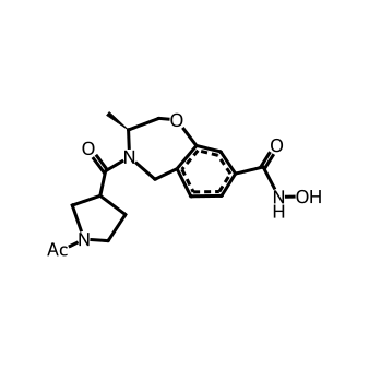 CC(=O)N1CCC(C(=O)N2Cc3ccc(C(=O)NO)cc3OC[C@@H]2C)C1